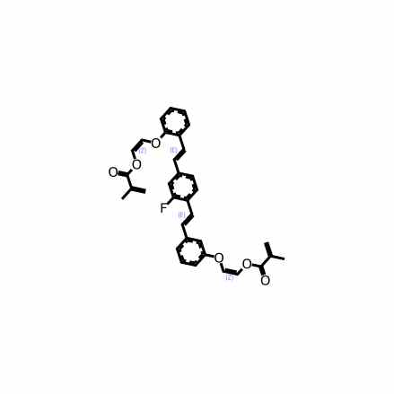 C=C(C)C(=O)O/C=C\Oc1cccc(/C=C/c2ccc(/C=C/c3ccccc3O/C=C\OC(=O)C(=C)C)cc2F)c1